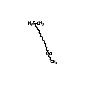 CCCCC(=O)OCCCCCCCCCCCCCCCCC(C)C